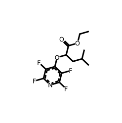 CCOC(=O)C(CC(C)C)Oc1c(F)c(F)nc(F)c1F